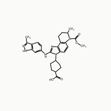 COC(=O)N1c2ccc3c(nc(Nc4ccc5c(C)n[nH]c5c4)n3C3CCC(C(=O)O)CC3)c2CCC1C